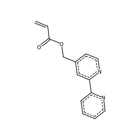 C=CC(=O)OCc1ccnc(-c2ccccn2)c1